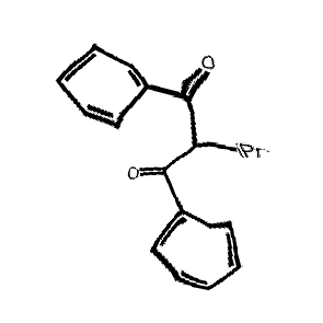 C[C](C)C(C(=O)c1ccccc1)C(=O)c1ccccc1